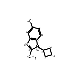 Cc1ccc2c(c1)nc(C)n2C1CCC1